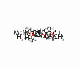 CCCC(C)(C)OCC(C)C(C)(C)C(C)(C)OCCC(C)(C)C(C)(C)OCC(C)C(C)(C)NC